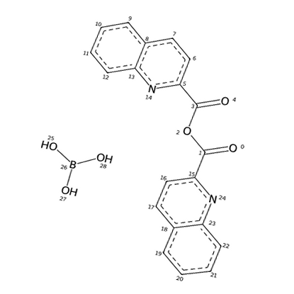 O=C(OC(=O)c1ccc2ccccc2n1)c1ccc2ccccc2n1.OB(O)O